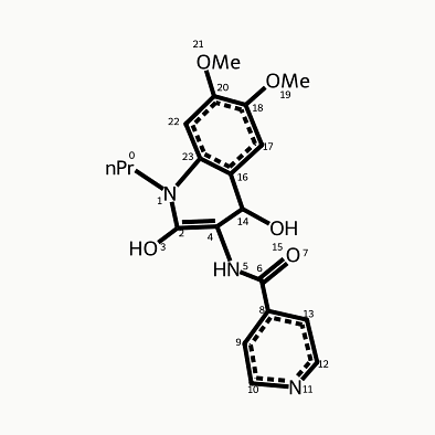 CCCN1C(O)=C(NC(=O)c2ccncc2)C(O)c2cc(OC)c(OC)cc21